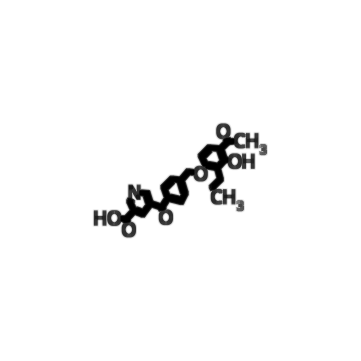 CCCc1c(OCc2ccc(C(=O)c3cncc(C(=O)O)c3)cc2)ccc(C(C)=O)c1O